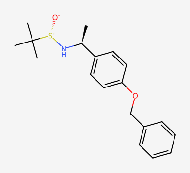 C[C@H](N[S@@+]([O-])C(C)(C)C)c1ccc(OCc2ccccc2)cc1